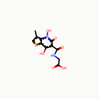 Cc1csc2c(O)c(C(=O)NCC(=O)O)c(=O)n(O)c12